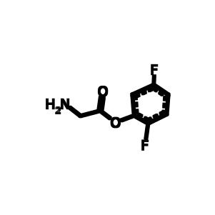 NCC(=O)Oc1cc(F)ccc1F